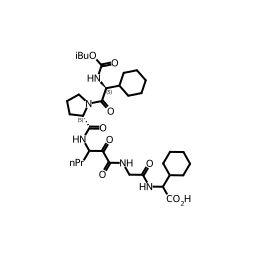 CCCC(NC(=O)[C@@H]1CCCN1C(=O)[C@@H](NC(=O)OCC(C)C)C1CCCCC1)C(=O)C(=O)NCC(=O)NC(C(=O)O)C1CCCCC1